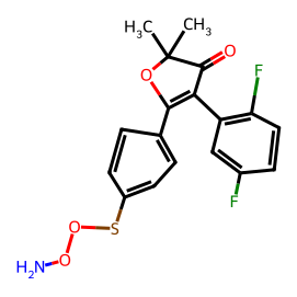 CC1(C)OC(c2ccc(SOON)cc2)=C(c2cc(F)ccc2F)C1=O